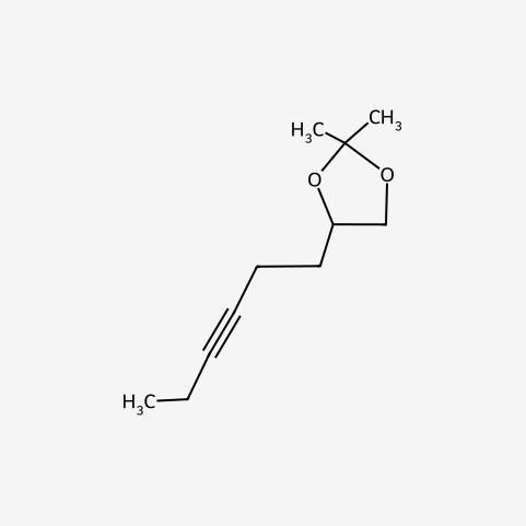 CCC#CCCC1COC(C)(C)O1